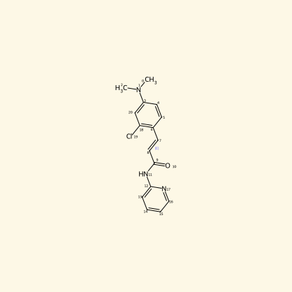 CN(C)c1ccc(/C=C/C(=O)Nc2ccccn2)c(Cl)c1